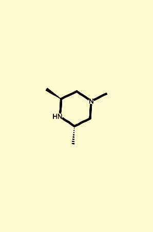 C[C@H]1CN(C)C[C@H](C)N1